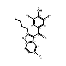 CCCCc1oc2ccc(Br)cc2c1C(=O)c1cc(I)c(O)c(I)c1